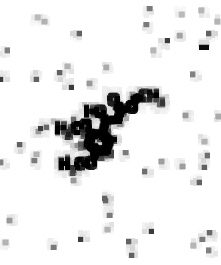 CCOC(=O)CC(O)c1ccc(OC)cc1OC